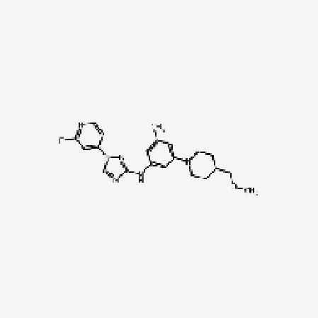 COCC1CCN(c2cc(C)cc(Nc3ncn(-c4ccnc(F)c4)n3)c2)CC1